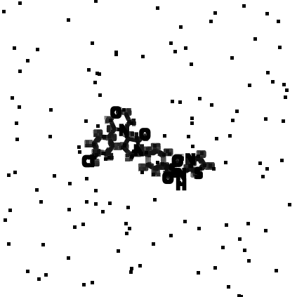 O=C1[C@H](N2CCOCC2c2ccc(Cl)cc2)CCN1c1ccc(S(=O)(=O)Nc2nccs2)cc1